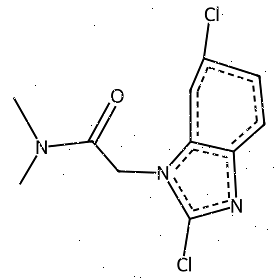 CN(C)C(=O)Cn1c(Cl)nc2ccc(Cl)cc21